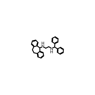 c1ccc(C(NCCNC2c3ccccc3CCc3ccccc32)c2ccccc2)cc1